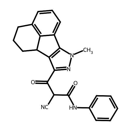 Cn1nc(C(=O)C(C#N)C(=O)Nc2ccccc2)c2c1-c1cccc3c1C2CCC3